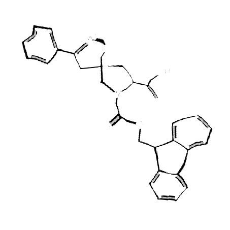 CC(=O)C1C[C@]2(CC(c3ccccc3)=NO2)CN1C(=O)OCC1c2ccccc2-c2ccccc21